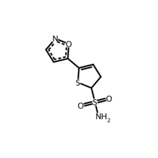 NS(=O)(=O)C1CC=C(c2ccno2)S1